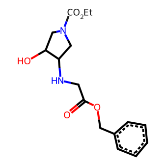 CCOC(=O)N1CC(O)C(NCC(=O)OCc2ccccc2)C1